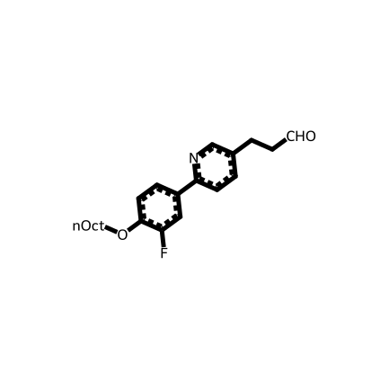 CCCCCCCCOc1ccc(-c2ccc(CCC=O)cn2)cc1F